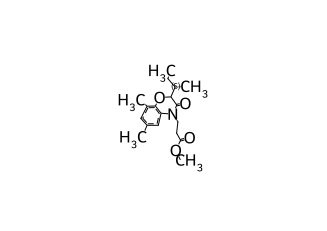 CC[C@H](C)C1Oc2c(C)cc(C)cc2N(CCC(=O)OC)C1=O